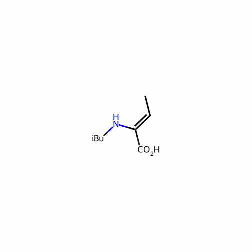 C/C=C(\NC(C)CC)C(=O)O